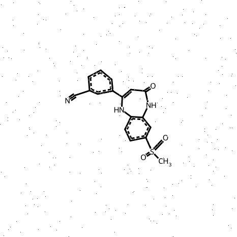 CS(=O)(=O)c1ccc2c(c1)NC(=O)C=C(c1cccc(C#N)c1)N2